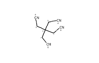 N#CCC(CC#N)(CC#N)CC#N